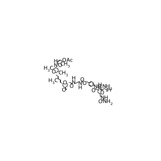 CC(=O)O[C@@H](C)/C=C\C(=O)N[C@@H]1C[C@H](C)[C@H](C/C=C(C)/C=C/[C@@H]2C[C@]3(CO3)C[C@@H](CC(=O)NCCNC(=O)OCc3ccc(NC(=O)[C@H](CCCNC(N)=O)NC(=O)[C@@H](N)C(C)C)cc3)O2)O[C@@H]1C